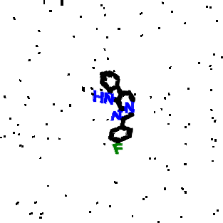 Fc1ccc(-c2cn3ccc4c5ccccc5[nH]c4c3n2)cc1